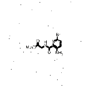 COC(=O)CNC(=O)c1nc(Br)ccc1N